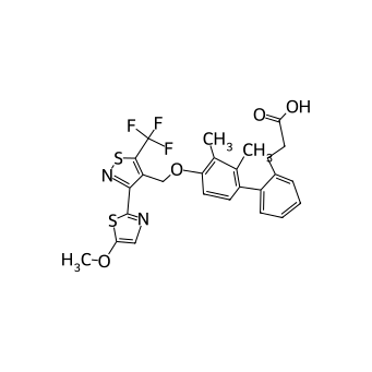 COc1cnc(-c2nsc(C(F)(F)F)c2COc2ccc(-c3ccccc3CCC(=O)O)c(C)c2C)s1